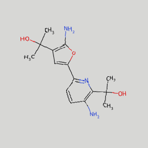 CC(C)(O)c1cc(-c2ccc(N)c(C(C)(C)O)n2)oc1N